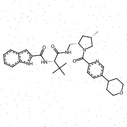 C[C@H]1C[C@@H](CNC(=O)[C@@H](NC(=O)c2cc3ccccc3[nH]2)C(C)(C)C)N(C(=O)c2ccc(C3CCOCC3)cn2)C1